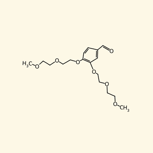 COCCOCCOc1ccc(C=O)cc1OCCOCCOC